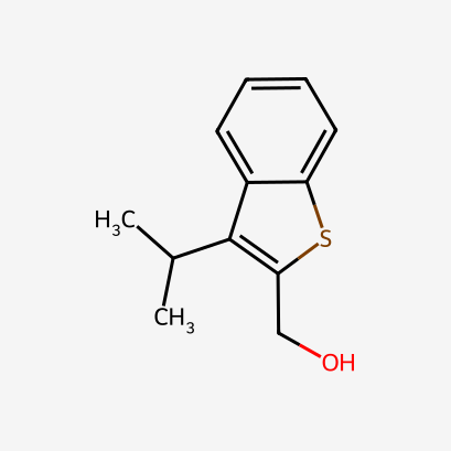 CC(C)c1c(CO)sc2ccccc12